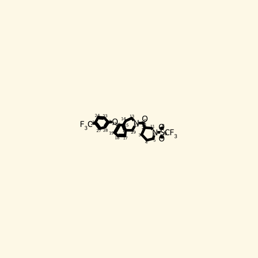 O=C(C1CCCN(S(=O)(=O)C(F)(F)F)C1)N1CCc2c(cccc2Oc2ccc(C(F)(F)F)cc2)C1